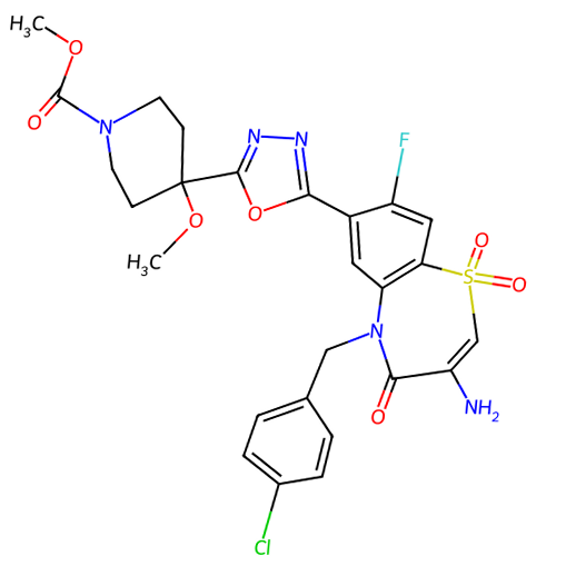 COC(=O)N1CCC(OC)(c2nnc(-c3cc4c(cc3F)S(=O)(=O)C=C(N)C(=O)N4Cc3ccc(Cl)cc3)o2)CC1